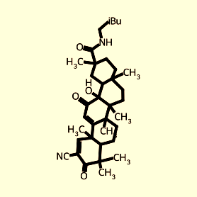 CCC(C)CNC(=O)C1(C)CCC2(C)CCC3(C)C4(C)CCC5C(C)(C)C(=O)C(C#N)=CC5(C)C4=CC(=O)C3(O)C2C1